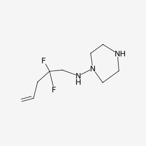 C=CCC(F)(F)CNN1CCNCC1